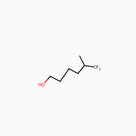 CC(CCCCO)C(F)(F)F